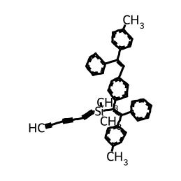 C#CC#CC#C[Si](C)(C)/C(=C(/c1ccccc1)c1ccc(C)cc1)c1ccc(/C=C(\c2ccccc2)c2ccc(C)cc2)cc1